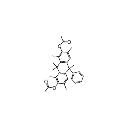 CC(=O)Oc1c(C)cc2c(c1C)C(C)(C)c1c(cc(C)c(OC(C)=O)c1C)C2(C)c1ccccc1